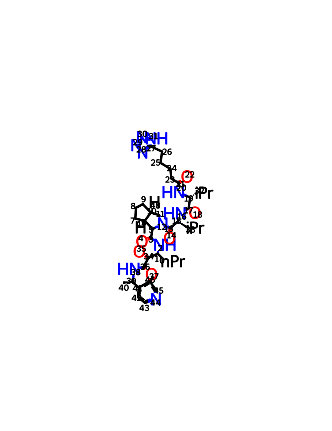 CCCC(NC(=O)C1[C@H]2CCC[C@H]2CN1C(=O)[C@@H](NC(=O)[C@H](NC(=O)CCCCc1nnn[nH]1)C(C)C)C(C)C)C(=O)C(=O)N[C@H](C)c1ccncc1